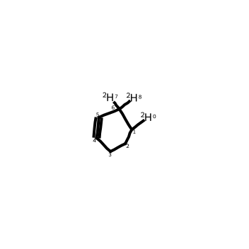 [2H]C1CCC#CC1([2H])[2H]